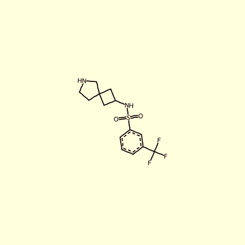 O=S(=O)(NC1CC2(CCNC2)C1)c1cccc(C(F)(F)F)c1